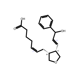 O=C(O)CCC/C=C\C[C@H]1COC[C@H]1/C=C/C(O)c1ccccc1